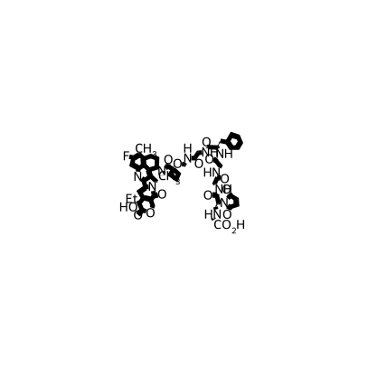 CC[C@@]1(O)C(=O)OCc2c1cc1n(c2=O)Cc2c-1nc1cc(F)c(C)c3c1c2[C@@H](N(C)C(=O)C1(OCNC(=O)CNC(=O)[C@H](Cc2ccccc2)NC(=O)CNC(=O)CNC(=O)[C@@H](CNCC(=O)O)N2C(=O)C=CC2=O)CCC1)CC3